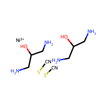 N#C[S-].N#C[S-].NCC(O)CN.NCC(O)CN.[Ni+2]